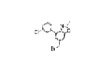 Cc1nc2c(-c3cccc(Cl)c3)cc(CBr)cc2o1